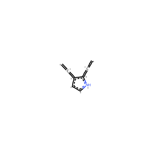 C=C=c1cc[nH]c1=C=C